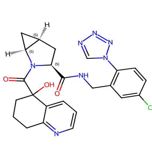 O=C(NCc1cc(Cl)ccc1-n1cnnn1)[C@@H]1C[C@@H]2C[C@@H]2N1C(=O)C1(O)CCCc2ncccc21